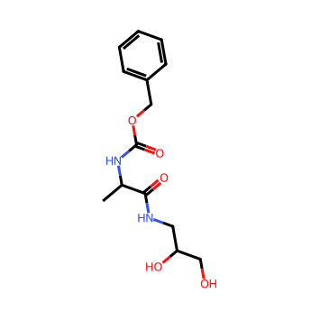 CC(NC(=O)OCc1ccccc1)C(=O)NCC(O)CO